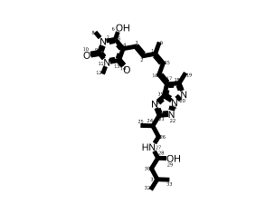 CC(C=Cc1c(O)n(C)c(=O)n(C)c1=O)=CC=c1c(C)nn2nc(C(C)CNC(O)CC(C)C)nc12